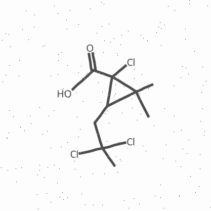 CC(Cl)(Cl)CC1C(C)(C)C1(Cl)C(=O)O